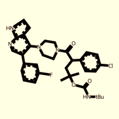 CC(C)(C)NC(=O)OC(C)(C)CC(C(=O)N1CCN(c2c(-c3cccc(F)c3)cnc3[nH]ccc23)CC1)c1ccc(Cl)cc1